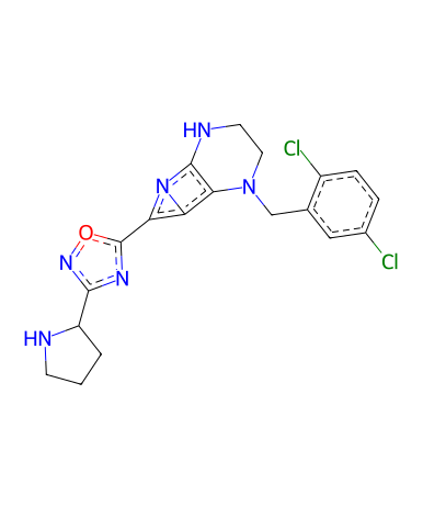 Clc1ccc(Cl)c(CN2CCNc3c2c2c(-c4nc(C5CCCN5)no4)n3-2)c1